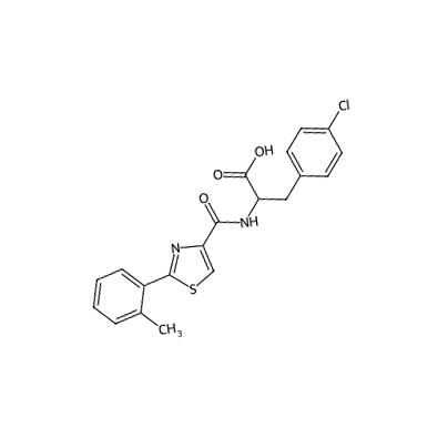 Cc1ccccc1-c1nc(C(=O)NC(Cc2ccc(Cl)cc2)C(=O)O)cs1